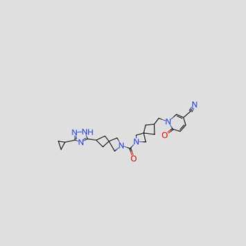 N#Cc1ccc(=O)n(CC2CC3(C2)CN(C(=O)N2CC4(CC(c5nc(C6CC6)n[nH]5)C4)C2)C3)c1